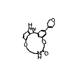 O=C1COc2cc(C3=CCOCC3)cc(c2)-c2n[nH]c3ccc(cc23)OCCCN1